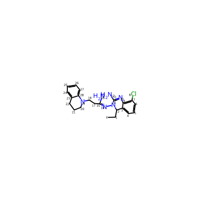 CCC1c2cccc(Cl)c2N=C(N)N1/N=C(\N)CCN1CCCc2ccccc21